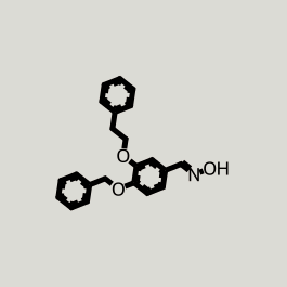 O/N=C/c1ccc(OCc2ccccc2)c(OCCc2ccccc2)c1